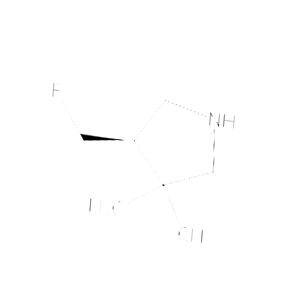 CC1(C)CNC[C@@H]1CF